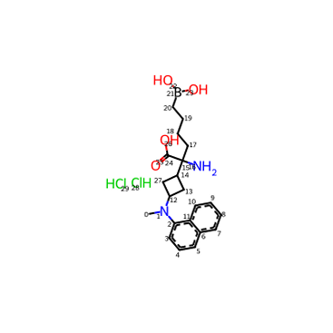 CN(c1cccc2ccccc12)C1CC(C(N)(CCCCB(O)O)C(=O)O)C1.Cl.Cl